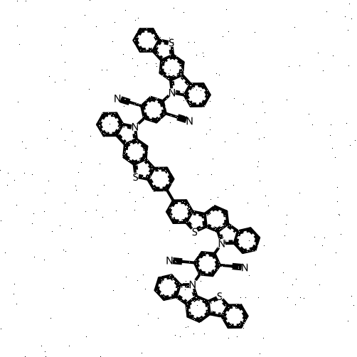 N#Cc1cc(-n2c3ccccc3c3cc4sc5cc(-c6ccc7sc8c(ccc9c%10ccccc%10n(-c%10cc(C#N)c(-n%11c%12ccccc%12c%12ccc%13c%14ccccc%14sc%13c%12%11)cc%10C#N)c98)c7c6)ccc5c4cc32)c(C#N)cc1-n1c2ccccc2c2cc3sc4ccccc4c3cc21